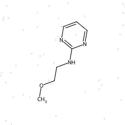 COCCNc1n[c]ccn1